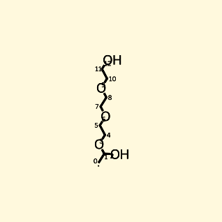 [CH2]C(O)OCCOCCOCCO